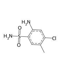 Cc1cc(S(N)(=O)=O)c(N)cc1Cl